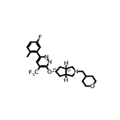 Cc1ccc(F)cc1-c1cc(C(F)(F)F)c(O[C@@H]2C[C@@H]3CN(CC4CCOCC4)C[C@@H]3C2)nn1